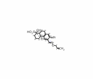 C=CCO/N=C/c1cc2c(cc1C(C)C)CCC1C(C)(C(=O)O)CCC[C@]21C